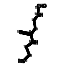 O=CNCCC(=O)NCCS